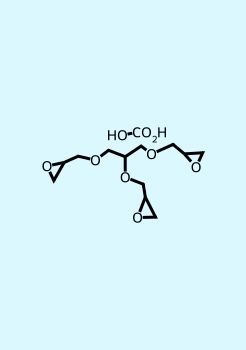 C(OCC1CO1)C(COCC1CO1)OCC1CO1.O=C(O)O